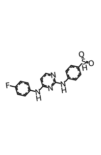 O=[SH](=O)c1ccc(Nc2nccc(Nc3ccc(F)cc3)n2)cc1